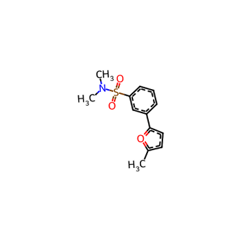 Cc1ccc(-c2cccc(S(=O)(=O)N(C)C)c2)o1